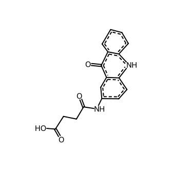 O=C(O)CCC(=O)Nc1ccc2[nH]c3ccccc3c(=O)c2c1